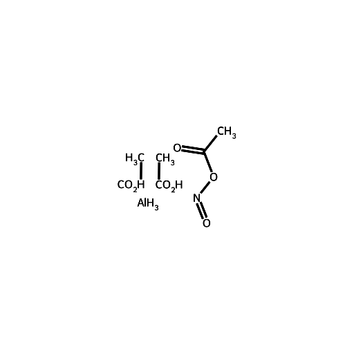 CC(=O)O.CC(=O)O.CC(=O)ON=O.[AlH3]